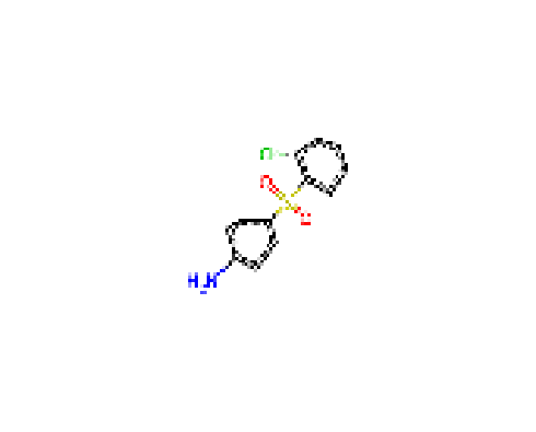 Nc1ccc(S(=O)(=O)c2ccccc2Cl)cc1